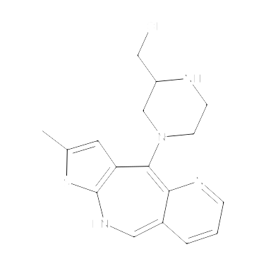 Cc1cc2c(s1)NC=c1cccnc1=C2N1CCNC(CO)C1